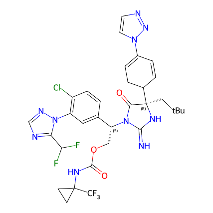 CC(C)(C)C[C@]1(C2C=CC(n3ccnn3)=CC2)NC(=N)N([C@H](COC(=O)NC2(C(F)(F)F)CC2)c2ccc(Cl)c(-n3ncnc3C(F)F)c2)C1=O